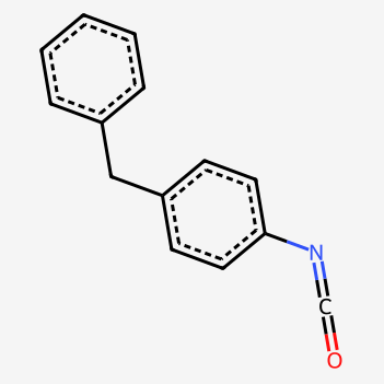 O=C=Nc1ccc(Cc2ccccc2)cc1